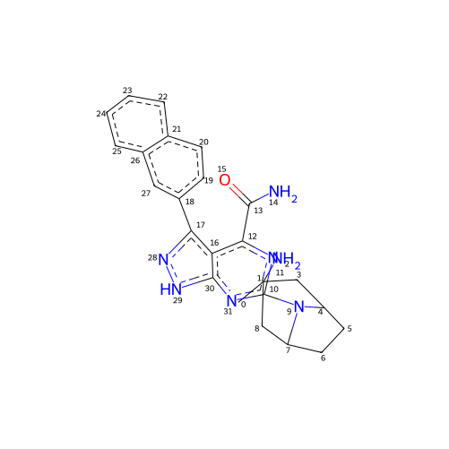 CC1(N)CC2CCC(C1)N2c1nc(C(N)=O)c2c(-c3ccc4ccccc4c3)n[nH]c2n1